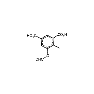 Cc1c(OC=O)cc(C(=O)O)cc1C(=O)O